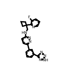 Fc1cccnc1C1(CNc2ccc(-c3cccc(-c4nn[nH]n4)c3)nn2)CCC1